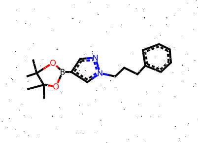 CC1(C)OB(c2cnn(CCCc3ccccc3)c2)OC1(C)C